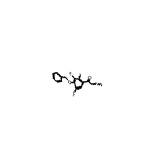 [N-]=[N+]=CC(=O)c1cc(F)c(OCc2ccccc2)c(F)c1I